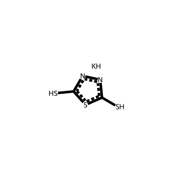 Sc1nnc(S)s1.[KH]